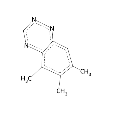 Cc1cc2nncnc2c(C)c1C